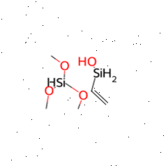 C=C[SiH2]O.CO[SiH](OC)OC